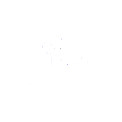 CCCCOC(=O)NCCNc1ccc(-c2ccccc2)cc1-c1ccn(Cc2cccnc2)n1